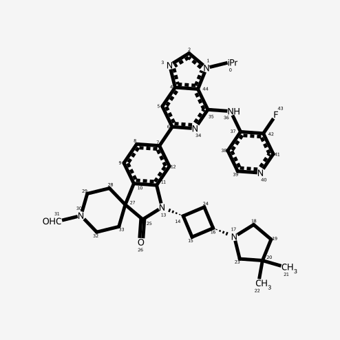 CC(C)n1cnc2cc(-c3ccc4c(c3)N([C@H]3C[C@@H](N5CCC(C)(C)C5)C3)C(=O)C43CCN(C=O)CC3)nc(Nc3ccncc3F)c21